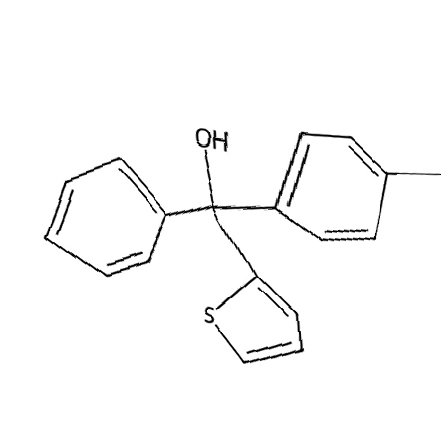 OC(c1ccccc1)(c1ccc(F)cc1)c1cccs1